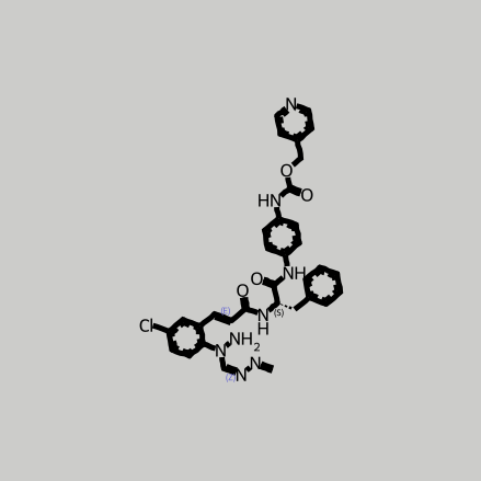 C=N/N=C\N(N)c1ccc(Cl)cc1/C=C/C(=O)N[C@@H](Cc1ccccc1)C(=O)Nc1ccc(NC(=O)OCc2ccncc2)cc1